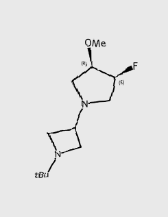 CO[C@@H]1CN(C2CN(C(C)(C)C)C2)C[C@@H]1F